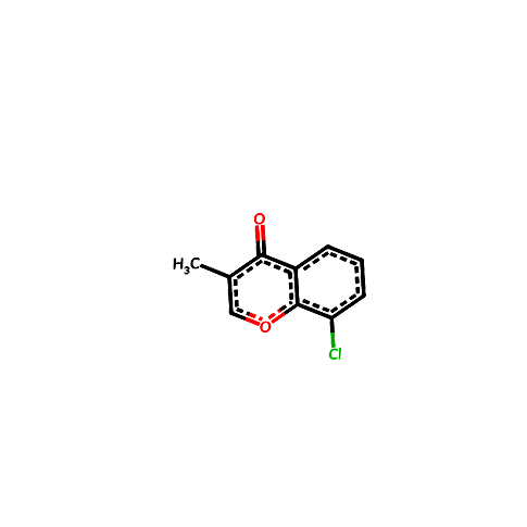 Cc1coc2c(Cl)cccc2c1=O